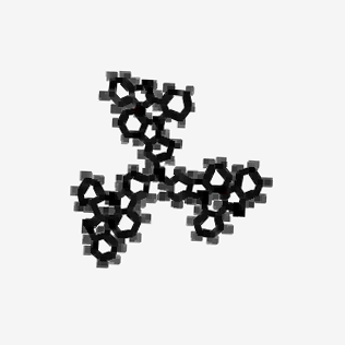 c1ccc(-n2c3ccccc3c3cc(N(c4ccc5c(c4)c4ccccc4n5-c4ccccc4-c4nc5ccccc5s4)c4ccc5c(c4)c4ccccc4n5-c4ccccc4-c4nc5ccccc5s4)ccc32)c(-c2nc3ccccc3s2)c1